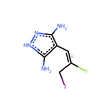 Nc1n[nH]c(N)c1/C=C(/F)CI